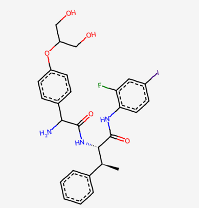 C[C@@H](c1ccccc1)[C@H](NC(=O)C(N)c1ccc(OC(CO)CO)cc1)C(=O)Nc1ccc(I)cc1F